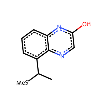 CSC(C)c1cccc2nc(O)cnc12